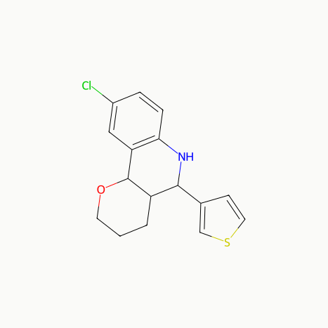 Clc1ccc2c(c1)C1OCCCC1C(c1ccsc1)N2